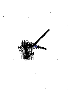 CCCCCCCCCCCCC/C=C/[C@@H](O)[C@H](CO[C@@H]1OC(CO)[C@@H](O[C@@H]2OC(CO)[C@H](O)[C@H](O[C@@H]3OC(CO)[C@@H](O[C@@H]4OC(CO)[C@H](O)[C@H](O[C@H]5OC(CO)[C@H](O)[C@H](O[C@@H]6OC(CO)[C@H](O)[C@H](O)C6NC(C)=O)C5O)C4O)[C@H](O)C3NC(C)=O)C2O)[C@H](O)C1O)NC(=O)CCCCCCCCCCCCCCCCCCCCCCCCC